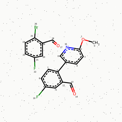 COc1ccc(-c2ccc(F)cc2C=O)cn1.O=Cc1cc(F)ccc1Br